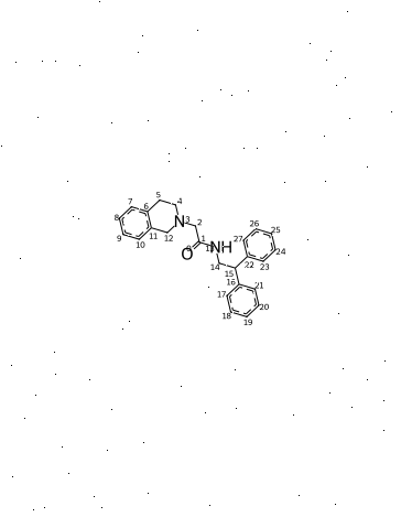 O=C(CN1CCc2ccccc2C1)NCC(c1ccccc1)c1ccccc1